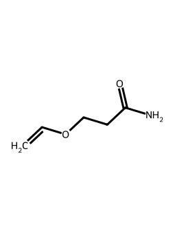 C=COCCC(N)=O